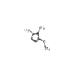 Cc1ccc(OC(F)(F)F)n1C